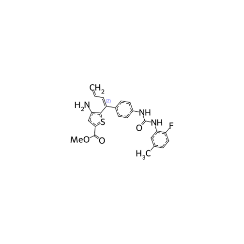 C=C/C=C(/c1ccc(NC(=O)Nc2cc(C)ccc2F)cc1)c1sc(C(=O)OC)cc1N